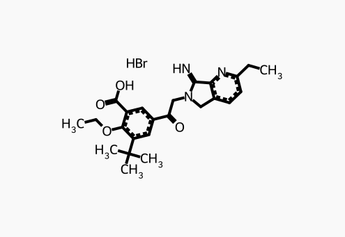 Br.CCOc1c(C(=O)O)cc(C(=O)CN2Cc3ccc(CC)nc3C2=N)cc1C(C)(C)C